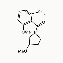 COc1cccc(C)c1C(=O)N1CCC(OC)C1